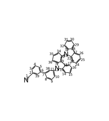 N#Cc1cccc(-c2cccc(-n3c4ccccc4c4c(-n5c6ccccc6c6ccccc65)cccc43)c2)c1